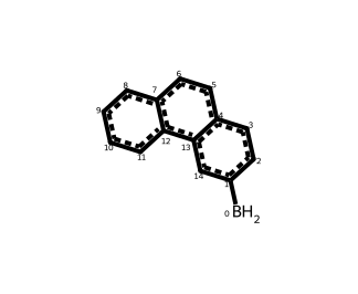 Bc1ccc2ccc3ccccc3c2c1